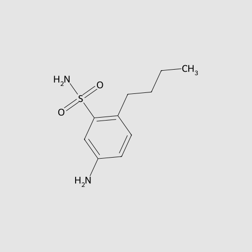 CCCCc1ccc(N)cc1S(N)(=O)=O